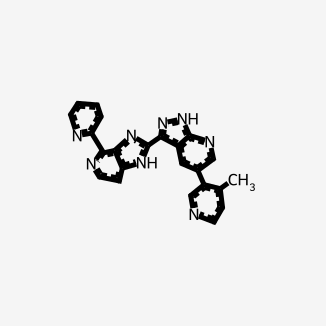 Cc1ccncc1-c1cnc2[nH]nc(-c3nc4c(-c5ccccn5)nccc4[nH]3)c2c1